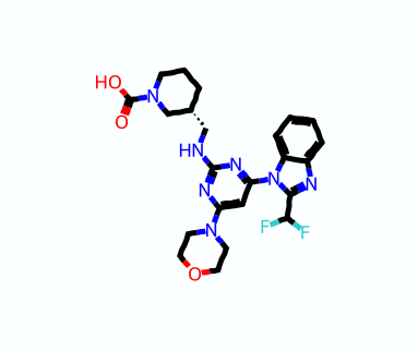 O=C(O)N1CCC[C@H](CNc2nc(N3CCOCC3)cc(-n3c(C(F)F)nc4ccccc43)n2)C1